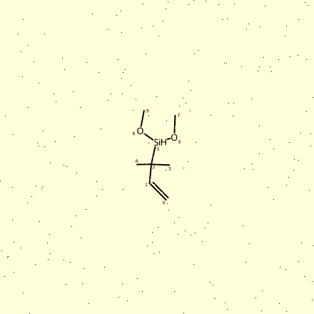 C=CC(C)(C)[SiH](OC)OC